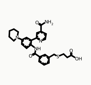 NC(=O)c1ccnc(-c2cc(N3CCCCC3)ccc2NC(=O)c2cccc(CSCCC(=O)O)c2)c1